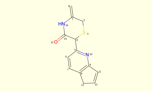 C=C1CSC(c2ccc3c(n2)C=CC3)C(=O)N1